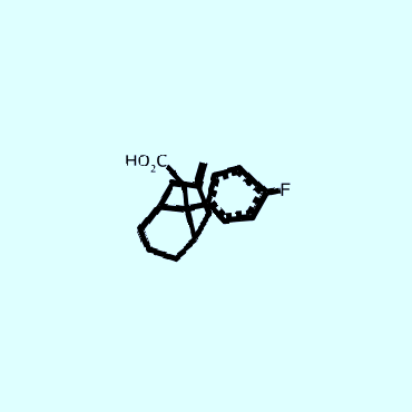 C=C1CC2CCCC(C1)C2(CC(=O)O)c1ccc(F)cc1